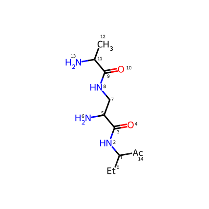 CCC(NC(=O)C(N)CNC(=O)C(C)N)C(C)=O